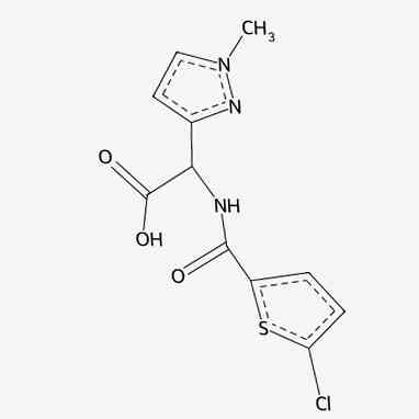 Cn1ccc(C(NC(=O)c2ccc(Cl)s2)C(=O)O)n1